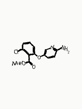 COC(=O)c1c(Cl)cccc1Oc1ccc(N)nc1